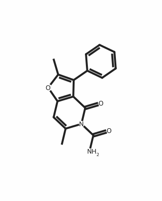 Cc1oc2cc(C)n(C(N)=O)c(=O)c2c1-c1ccccc1